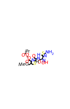 COCC1=C(C(=O)OCOC(=O)C(C)C)N2C(=O)C(NC(=O)/C(=N\O)c3csc(N)n3)[C@H]2SC1